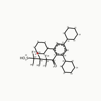 O=C(c1c(C2CCCCC2)cc(C2CCCCC2)cc1C1CCCCC1)C(F)(F)C(F)(F)C(F)(F)S(=O)(=O)O